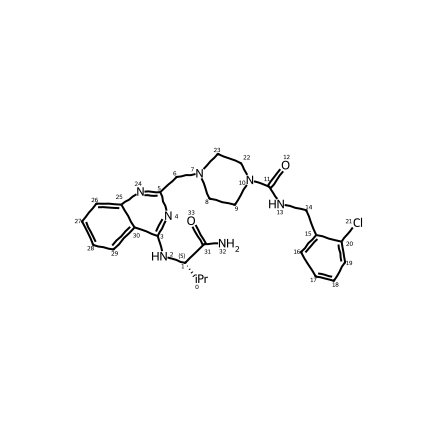 CC(C)[C@H](Nc1nc(CN2CCN(C(=O)NCc3ccccc3Cl)CC2)nc2ccccc12)C(N)=O